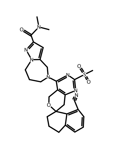 CN(C)C(=O)c1cc2n(n1)CCCN(c1nc(S(C)(=O)=O)nc3c1COC1(CCCc4cccc(C#N)c41)C3)C2